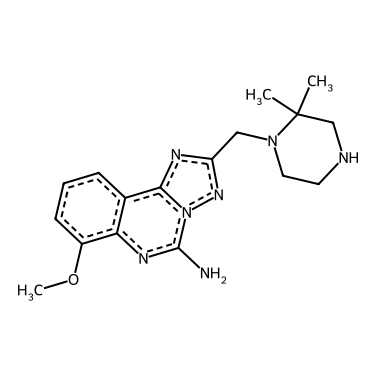 COc1cccc2c1nc(N)n1nc(CN3CCNCC3(C)C)nc21